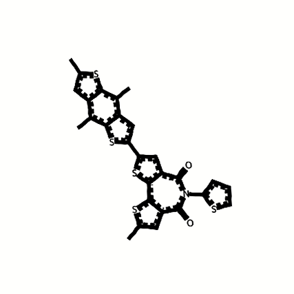 Cc1cc2c(C)c3sc(-c4cc5c(=O)n(-c6cccs6)c(=O)c6cc(C)sc6c5s4)cc3c(C)c2s1